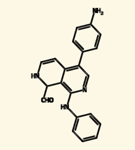 Nc1ccc(-c2cnc(Nc3ccccc3)c3c2C=CNC3C=O)cc1